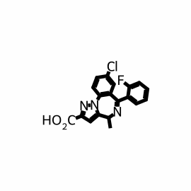 CC1N=C(c2ccccc2F)c2cc(Cl)ccc2-n2nc(C(=O)O)cc21